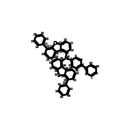 c1ccc(-c2ccc(N(c3cccc4oc5c(-c6ccccc6)cccc5c34)c3cccc4sc5c(-c6ccccc6)cccc5c34)cc2)cc1